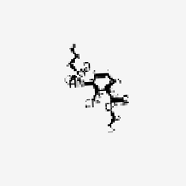 CCCS(=O)(=O)Nc1cccc(C(=O)OCC)c1Cl